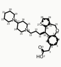 O=C(O)Cc1ccc2c(c1)/C(=C/CCN1CCC(N3CCCCC3)CC1)c1sccc1CO2